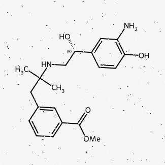 COC(=O)c1cccc(CC(C)(C)NC[C@H](O)c2ccc(O)c(N)c2)c1